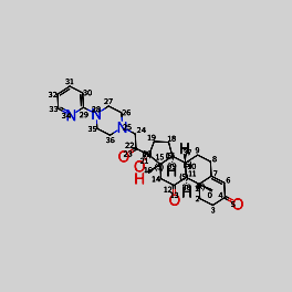 C[C@]12CCC(=O)C=C1CC[C@@H]1[C@@H]2C(=O)C[C@@]2(C)[C@H]1CC[C@]2(O)C(=O)CN1CCN(c2ccccn2)CC1